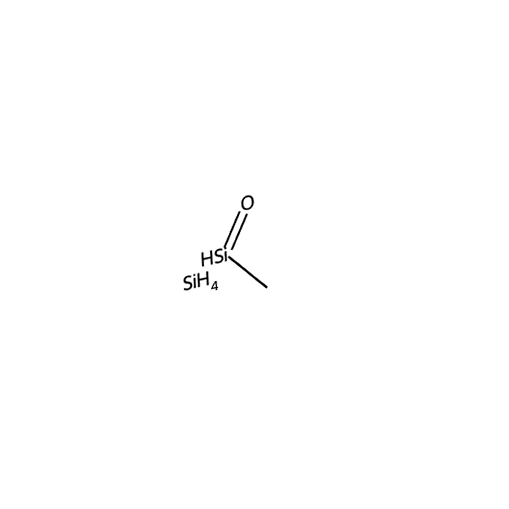 C[SiH]=O.[SiH4]